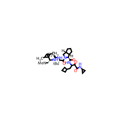 C=C(N[C@H](C(=O)N1C[C@@H]2CCC[C@@H]2[C@H]1C(=O)NC(CC1CCC1)C(=O)C(=O)NC1CC1)C(C)(C)C)N[C@H](CNC)C12C(C)C1C2C